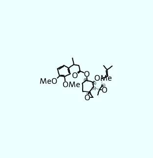 COc1ccc(C(C)CC(=O)O[C@@H]2CC[C@]3(CO3)[C@@H](C3(C)O[C@H]3CC=C(C)C)[C@@H]2OC)cc1OC